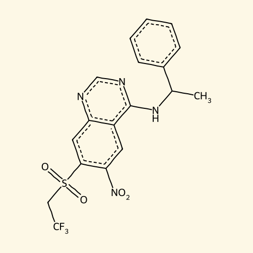 CC(Nc1ncnc2cc(S(=O)(=O)CC(F)(F)F)c([N+](=O)[O-])cc12)c1ccccc1